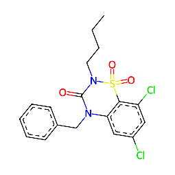 CCCCN1C(=O)N(Cc2ccccc2)c2cc(Cl)cc(Cl)c2S1(=O)=O